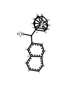 NC(c1ccc2ccccc2c1)[C]12[CH]3[CH]4[CH]5[CH]1[Fe]45321678[CH]2[CH]1[CH]6[CH]7[CH]28